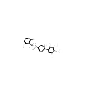 CCCc1c(Cl)cc(-c2ccc(C3COC(c4c(F)cccc4F)=N3)cc2)c(O)c1Cl